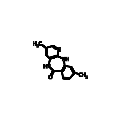 Cc1ccc2c(c1)Nc1ncc(C)cc1NC2=O